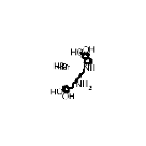 Br.Br.NC(CCCCCNC1CCc2cc(O)c(O)cc2C1)CCc1ccc(O)c(O)c1